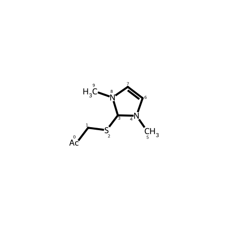 CC(=O)CSC1N(C)C=CN1C